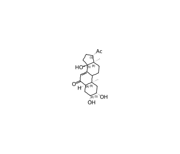 CC(=O)[C@H]1CC[C@@]2(O)C3=CC(=O)[C@@H]4C[C@@H](O)[C@@H](O)C[C@]4(C)C3CC[C@]12C